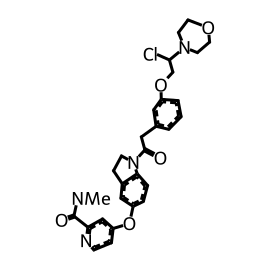 CNC(=O)c1cc(Oc2ccc3c(c2)CCN3C(=O)Cc2cccc(OCC(Cl)N3CCOCC3)c2)ccn1